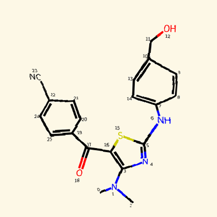 CN(C)c1nc(Nc2ccc(CO)cc2)sc1C(=O)c1ccc(C#N)cc1